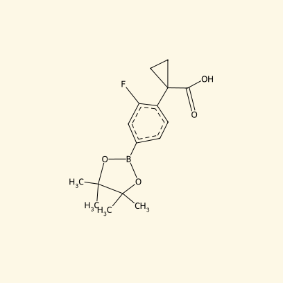 CC1(C)OB(c2ccc(C3(C(=O)O)CC3)c(F)c2)OC1(C)C